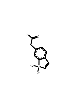 NC(=O)Cc1ccc2c(c1)S(O)(O)C=C2